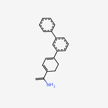 C=C(N)C1=CC=C(c2cccc(-c3ccccc3)c2)CC1